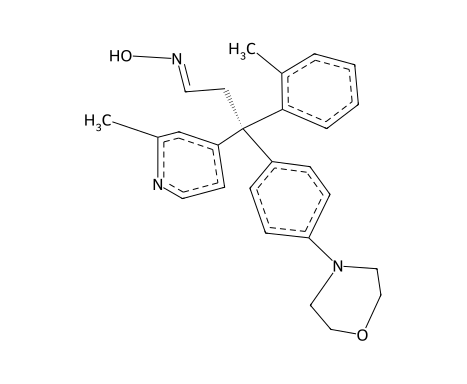 Cc1cc([C@](C/C=N/O)(c2ccc(N3CCOCC3)cc2)c2ccccc2C)ccn1